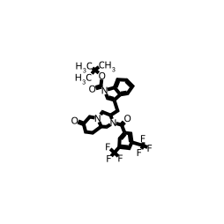 CC(C)(C)OC(=O)n1cc(CC2CN3CC(=O)CCC3CN2C(=O)c2cc(C(F)(F)F)cc(C(F)(F)F)c2)c2ccccc21